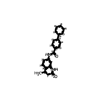 Cc1cc(=O)[nH]c2cc(NC(=O)c3ccc(-c4ccccc4)cc3)ccc12